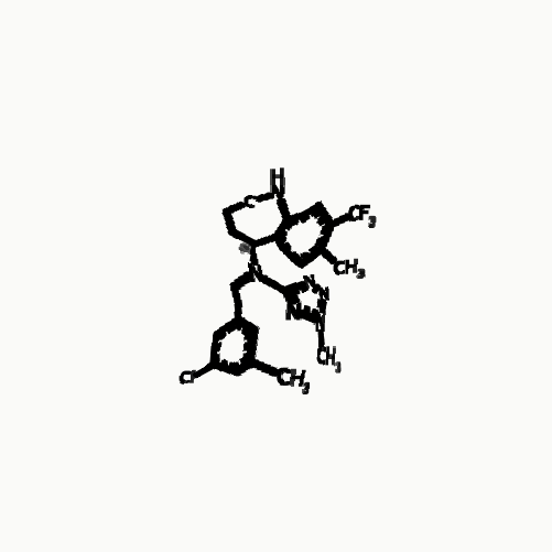 Cc1cc(Cl)cc(CN(c2nnn(C)n2)[C@H]2CCCNc3cc(C(F)(F)F)c(C)cc32)c1